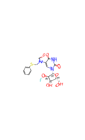 O=CN(CSc1ccccc1)c1cn([C@@H]2O[C@H](CO)[C@H](O)[C@H]2OF)c(=O)[nH]c1=O